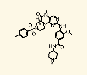 COc1cc(C(=O)NC2CCN(C)CC2)ccc1Nc1ncc2c(n1)N1CCN(S(=O)(=O)c3ccc(C)cc3)C[C@@H]1C(=O)N2C